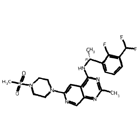 Cc1nc(N[C@H](C)c2cccc(C(F)F)c2F)c2cc(N3CCN(S(C)(=O)=O)CC3)ncc2n1